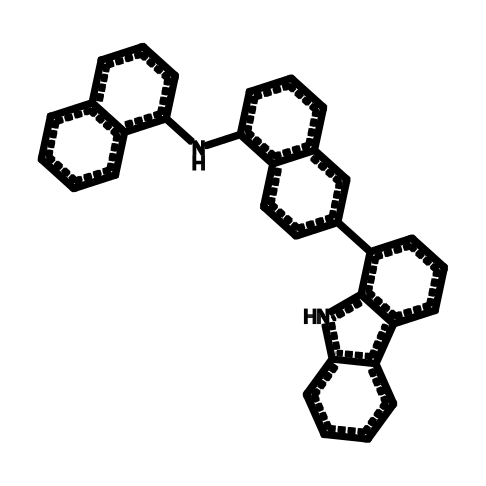 c1ccc2c(Nc3cccc4cc(-c5cccc6c5[nH]c5ccccc56)ccc34)cccc2c1